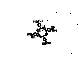 OB(O)c1ccc(-c2c3nc(c(-c4ccc(B(O)O)cc4)c4ccc([nH]4)c(-c4ccc(B(O)O)cc4)c4nc(c(-c5ccc(B(O)O)cc5)c5ccc2[nH]5)C=C4)C=C3)cc1